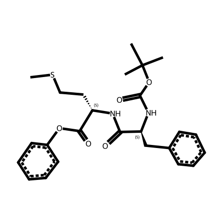 CSCC[C@H](NC(=O)[C@H](Cc1ccccc1)NC(=O)OC(C)(C)C)C(=O)Oc1ccccc1